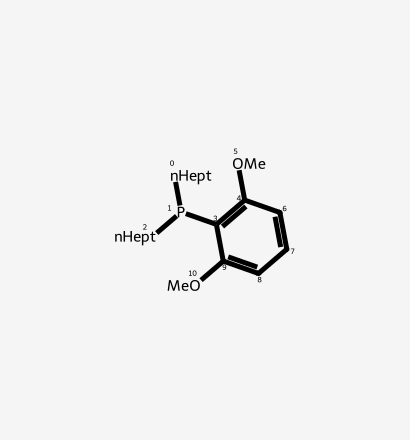 CCCCCCCP(CCCCCCC)c1c(OC)cccc1OC